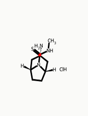 CNC(=S)N1[C@@H]2CC[C@H]1C[C@@H](N)C2.Cl